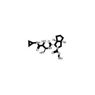 CCC[C@H](NC(=O)[C@@H]1[C@H]2CCC[C@H]2CN1C(=O)OC(C)(C)C)C(O)C(=O)NC1CC1